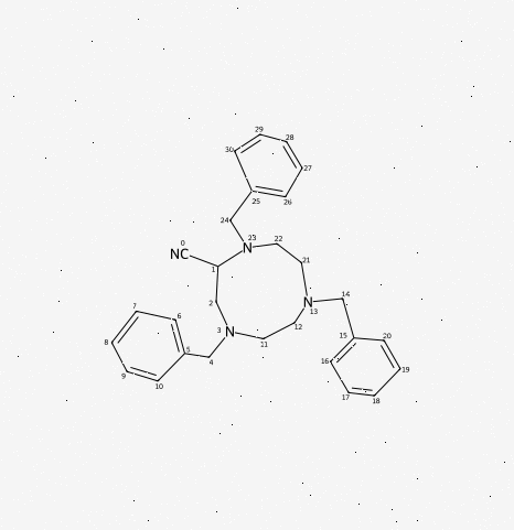 N#CC1CN(Cc2ccccc2)CCN(Cc2ccccc2)CCN1Cc1ccccc1